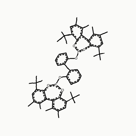 Cc1cc(C(C)(C)C)c2op(Oc3ccccc3-c3ccccc3Op3oc4c(C(C)(C)C)cc(C)c(C)c4c4c(C)c(C)cc(C(C)(C)C)c4o3)oc3c(C(C)(C)C)cc(C)c(C)c3c2c1C